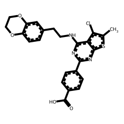 Cc1sc2nc(-c3ccc(C(=O)O)cc3)nc(NCCc3ccc4c(c3)OCCO4)c2c1Cl